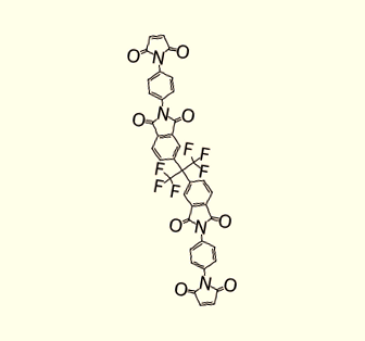 O=C1C=CC(=O)N1c1ccc(N2C(=O)c3ccc(C(c4ccc5c(c4)C(=O)N(c4ccc(N6C(=O)C=CC6=O)cc4)C5=O)(C(F)(F)F)C(F)(F)F)cc3C2=O)cc1